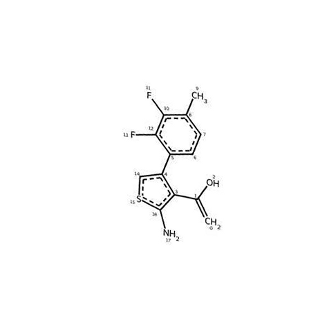 C=C(O)c1c(-c2ccc(C)c(F)c2F)csc1N